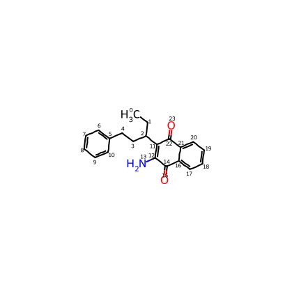 CCC(CCc1ccccc1)C1=C(N)C(=O)c2ccccc2C1=O